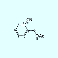 CC(=O)OCc1ccccc1C#N